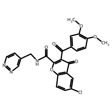 COc1ccc(C(=O)c2c(C(=O)NCc3ccnnc3)oc3ccc(Cl)cc3c2=O)cc1OC